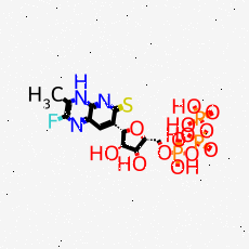 Cc1[nH]c2nc(=S)c([C@@H]3O[C@H](COP(=O)(O)OP(=O)(O)OP(=O)(O)O)C(O)[C@@H]3O)cc-2nc1F